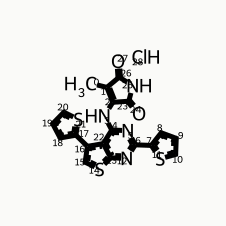 CC1=C(Nc2nc(-c3cccs3)nc3scc(-c4cccs4)c23)C(=O)NC1=O.Cl